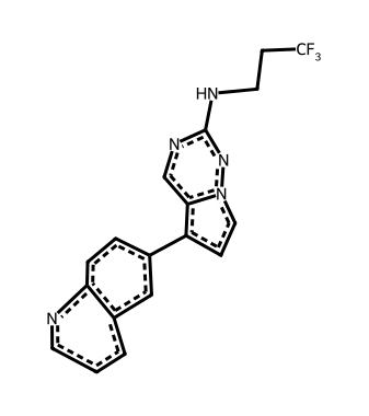 FC(F)(F)CCNc1ncc2c(-c3ccc4ncccc4c3)ccn2n1